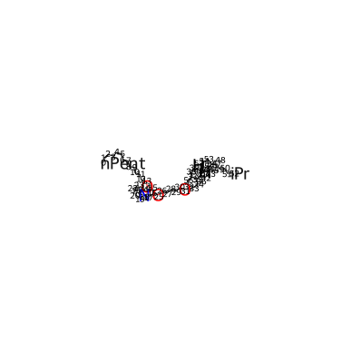 CCCCC/C=C\C/C=C\CCCCCCCCOCC(CN1CCC(C)(C)C1)OCCCCCO[C@H]1CC[C@@]2(C)C(=CC[C@@H]3C2CC[C@]2(C)C([C@H](C)CCCC(C)C)CC[C@@H]32)C1